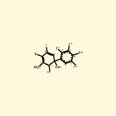 OC1=C(F)C(F)=CC(O)(c2cc(F)c(F)c(F)c2F)C1F